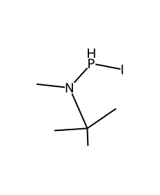 CN(PI)C(C)(C)C